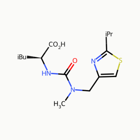 CCC(C)[C@H](NC(=O)N(C)Cc1csc(C(C)C)n1)C(=O)O